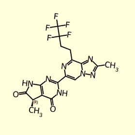 Cc1nc2c(CCC(F)(F)C(F)(F)F)nc(-c3nc4c(c(=O)[nH]3)[C@@H](C)C(=O)N4)cn2n1